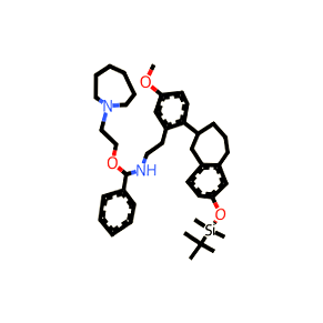 COc1ccc(C2CCCc3cc(O[Si](C)(C)C(C)(C)C)ccc3C2)c(CCNC(OCCN2CCCCCC2)c2ccccc2)c1